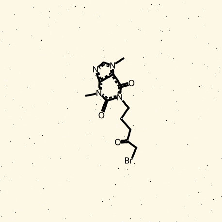 Cn1cnc2c1c(=O)n(CCCC(=O)CBr)c(=O)n2C